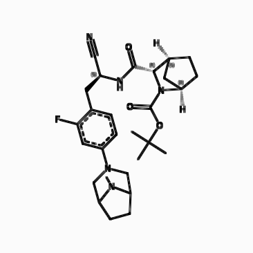 CN1C2CCC1CN(c1ccc(C[C@@H](C#N)NC(=O)[C@@H]3[C@H]4CC[C@H](C4)N3C(=O)OC(C)(C)C)c(F)c1)C2